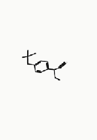 [C]#CC(CC)c1ccc(CC(C)(C)C)cc1